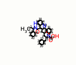 CCC(NC(=O)c1c(CC2CCN(C(=O)O)[C@H](Cc3ccccc3)C2)c(-c2ccccc2)nc2ccccc12)c1ccccc1